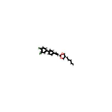 CCCCC[C@H]1CO[C@H](C#Cc2ccc(-c3ccc(F)c(F)c3)cc2)OC1